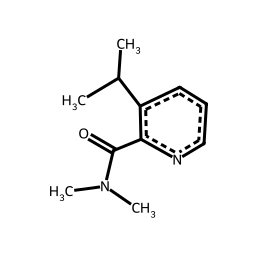 CC(C)c1cccnc1C(=O)N(C)C